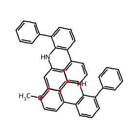 COc1cc(Nc2c(-c3ccccc3)cccc2-c2ccccc2)cc(Nc2c(-c3ccccc3)cccc2-c2ccccc2)c1